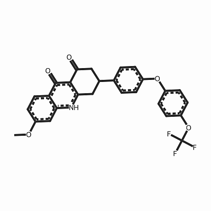 COc1ccc2c(=O)c3c([nH]c2c1)CC(c1ccc(Oc2ccc(OC(F)(F)F)cc2)cc1)CC3=O